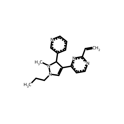 C=Cc1nccc(C2=CN(CCC)N(C)C2c2cccnc2)n1